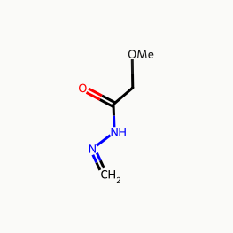 C=NNC(=O)COC